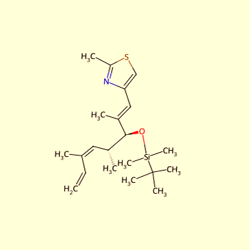 C=C/C(C)=C\[C@@H](C)[C@H](O[Si](C)(C)C(C)(C)C)/C(C)=C/c1csc(C)n1